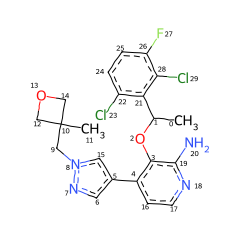 CC(Oc1c(-c2cnn(CC3(C)COC3)c2)ccnc1N)c1c(Cl)ccc(F)c1Cl